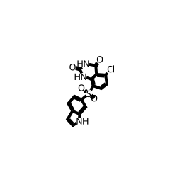 O=c1[nH]c(=O)c2c(Cl)ccc(S(=O)(=O)c3ccc4cc[nH]c4c3)c2[nH]1